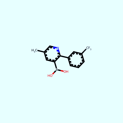 Cc1cnc(-c2cccc(C(F)(F)F)c2)c(B(O)O)c1